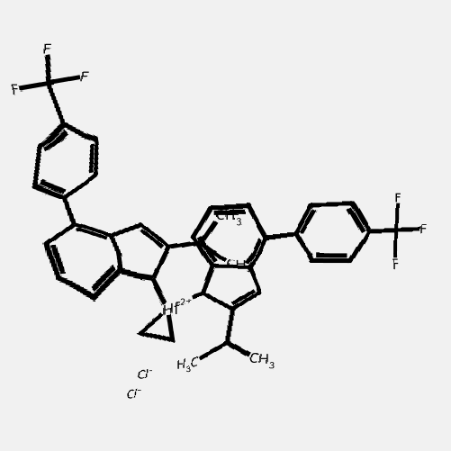 CC(C)C1=Cc2c(-c3ccc(C(F)(F)F)cc3)cccc2[CH]1[Hf+2]1([CH]2C(C(C)C)=Cc3c(-c4ccc(C(F)(F)F)cc4)cccc32)[CH2][CH2]1.[Cl-].[Cl-]